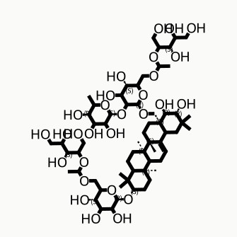 CC(OCC1O[C@@H](O[C@H]2CC[C@@]3(C)C(CC[C@]4(C)C3CC=C3C5CC(C)(C)[C@@H](O)[C@H](O)[C@]5(CO[C@@H]5OC(COC(C)OC(CO)[C@@H](O)C(O)CO)[C@@H](O)C(O)C5O[C@@H]5OC(C)[C@H](O)C(O)C5O)CC[C@]34C)C2(C)C)C(O)C(O)[C@@H]1O)OC(CO)[C@@H](O)C(O)CO